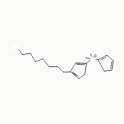 CCCCCCCCC1=CC[C]([Zr]([CH3])([CH3])(=[SiH2])[C]2=CC=CC2)=C1